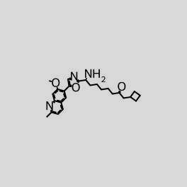 COc1cc2nc(C)ccc2cc1-c1cnc([C@@H](N)CCCCCC(=O)CC2CCC2)o1